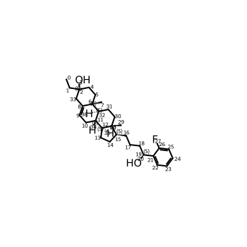 CC[C@]1(O)CC[C@@]2(C)C(=CC[C@H]3[C@@H]4CC[C@H](CCC[C@H](O)c5ccccc5F)[C@@]4(C)CC[C@@H]32)C1